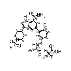 CCS(=O)(=O)N1CCC(c2c[nH]c3c(C(N)=O)cc(-c4cc(CN[C@@H](C)C(C)C)ccc4F)cc23)CC1.O=C(O)C(F)(F)F